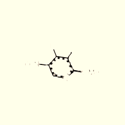 COc1ncc([N+](=O)[O-])c(F)c1F